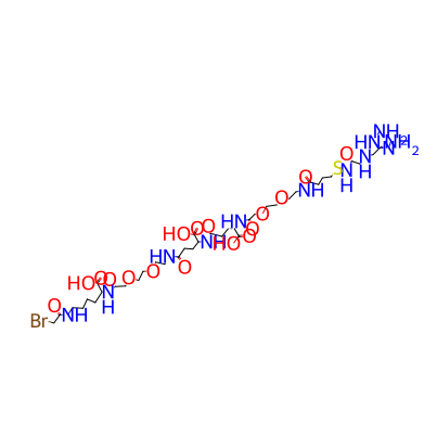 N/N=C(/CNCC(=O)NSCCCC(=O)NCCOCCOCC(=O)N[C@@H](CCC(=O)NC(CCC(=O)NCCOCCOCC(=O)NC(CCCCNC(=O)CBr)C(=O)O)C(=O)O)C(=O)O)NN